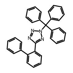 c1ccc(-c2ccccc2-c2nnn(C(c3ccccc3)(c3ccccc3)c3ccccc3)n2)cc1